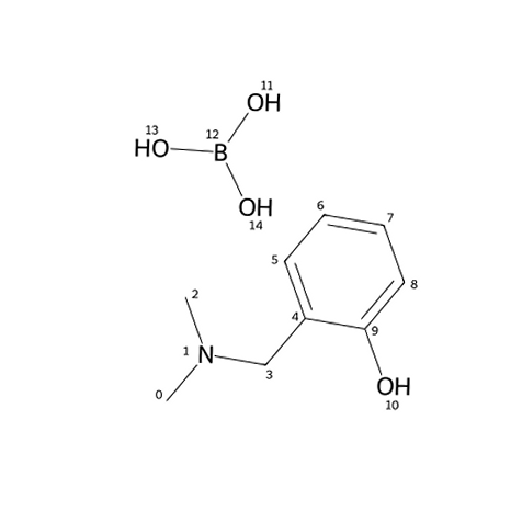 CN(C)Cc1ccccc1O.OB(O)O